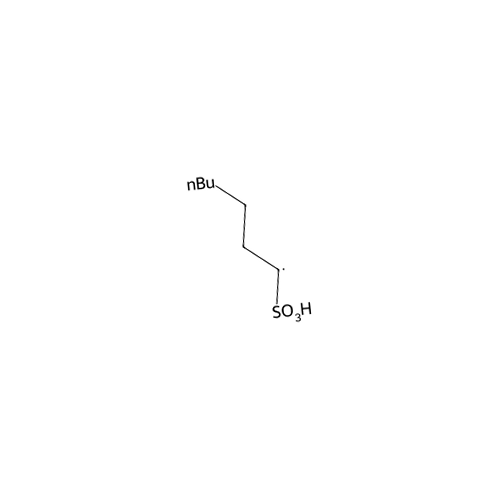 CCCCCC[CH]S(=O)(=O)O